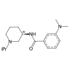 CC(C)N1CCC[C@@H](NC(=O)c2cccc(N(C)C)c2)C1